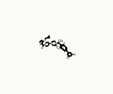 C[C@@H]1CN(C2CCN(C(=O)c3sccc3OCC3CC3)CC2)CCN1[C@@H](C)c1ccc(-c2cc(Cl)cc(Cl)c2)cc1